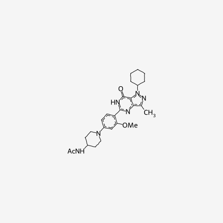 COc1cc(N2CCC(NC(C)=O)CC2)ccc1-c1nc2c(C)nn(C3CCCCC3)c2c(=O)[nH]1